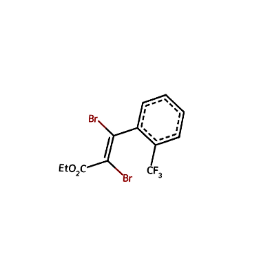 CCOC(=O)/C(Br)=C(\Br)c1ccccc1C(F)(F)F